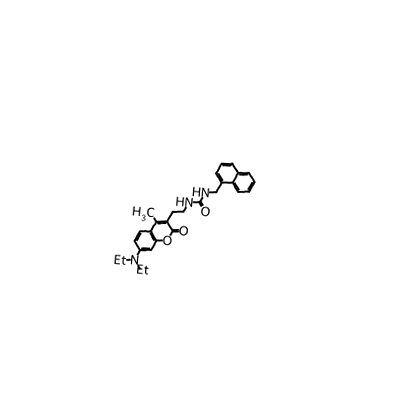 CCN(CC)c1ccc2c(C)c(CCNC(=O)NCc3cccc4ccccc34)c(=O)oc2c1